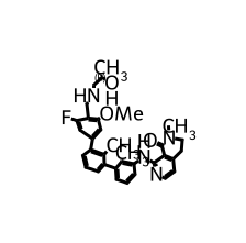 COc1cc(-c2cccc(-c3cccc(Nc4nccc5c4C(=O)N(C)CC5)c3C)c2C)cc(F)c1CNC[C@@H](C)O